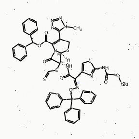 Cn1nnnc1C1=C(C(=O)OC(c2ccccc2)c2ccccc2)N2C(=O)[C@](NC(=O)/C(=N\OC(c3ccccc3)(c3ccccc3)c3ccccc3)c3csc(NC(=O)OC(C)(C)C)n3)(SC=S)[C@@H]2SC1